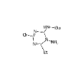 CCC1=NC(Cl)=NC(NC(C)(C)C)N1N